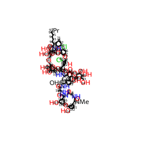 CNC1C(=O)N[C@H](C)C(=O)N[C@H](C(=O)N[C@H](C)C(=O)NC(C=O)c2ccc(O)c(-c3c(O[C@H]4OC(CO)[C@@H](O)C(O)C4O)cc(O)cc3C(NC(=O)[C@@H](NC)[C@@H]3OC4O[C@H](COCC5O[C@@H](Oc6c(Oc7ccc(C)cc7Cl)cccc6Oc6ccc3cc6Cl)[C@H](NC(=O)CCCCCCC(C)C)C(O)[C@@H]5O)C(O)[C@H](O)C4C)C(=O)O)c2)c2cc(O)cc(c2)Oc2cc1ccc2O